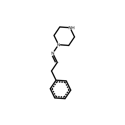 [C](/Cc1ccccc1)=N\N1CCNCC1